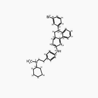 CN(CCc1ccc(Nc2ncc3c(n2)-c2ccccc2[C@H](c2cccc(Br)c2)C3)cc1)C1CCCCC1